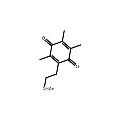 CC(=O)NCCC1=C(C)C(=O)C(C)=C(C)C1=O